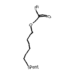 [CH2]CCCCCCCCOC(=O)CCC